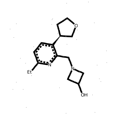 CCc1ccc([C@H]2CCOC2)c(CN2CC(O)C2)n1